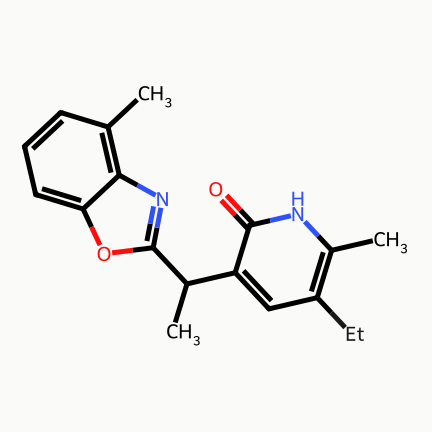 CCc1cc(C(C)c2nc3c(C)cccc3o2)c(=O)[nH]c1C